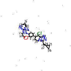 Clc1c(-c2ccc3c(c2)OCCN3c2ncccn2)ccn2c(CC3CC3)nnc12